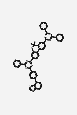 CC1(C)Oc2cc(-c3nc(-c4ccccc4)nc(-c4ccc(-c5cccc6ncoc56)cc4)n3)ccc2-c2ccc(-c3nc(-c4ccccc4)nc(-c4ccccc4)n3)cc21